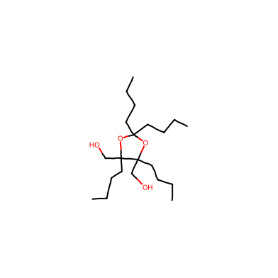 CCCCC1(CCCC)OC(CO)(CCCC)C(CO)(CCCC)O1